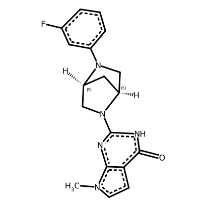 Cn1ccc2c(=O)[nH]c(N3C[C@@H]4C[C@H]3CN4c3cccc(F)c3)nc21